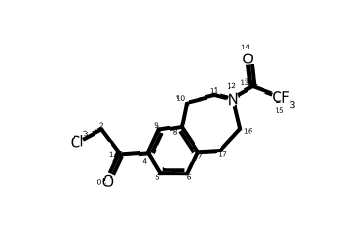 O=C(CCl)c1ccc2c(c1)CCN(C(=O)C(F)(F)F)CC2